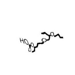 CCCCOC(CC)COCCCC(CC)OC(=O)O